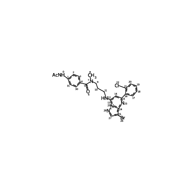 CC(=O)Nc1ccc(C(=O)N(C)CCCNc2cc(-c3ccccc3Cl)nc3c(Br)cnn23)cc1